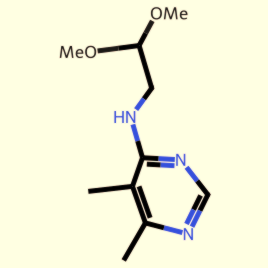 COC(CNc1ncnc(C)c1C)OC